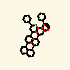 c1ccc(-c2cc(-c3ccc(-c4cccc5cccc(-c6ccc(-c7ccc8c(c7)ncn8-c7ccccc7)cc6)c45)cc3)nc(-c3ccccc3)n2)cc1